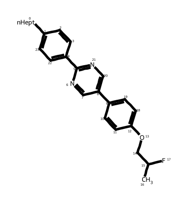 CCCCCCCc1ccc(-c2ncc(-c3ccc(OCC(C)F)cc3)cn2)cc1